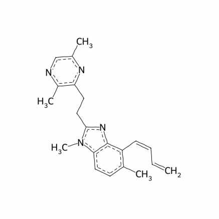 C=C/C=C\c1c(C)ccc2c1nc(CCc1nc(C)cnc1C)n2C